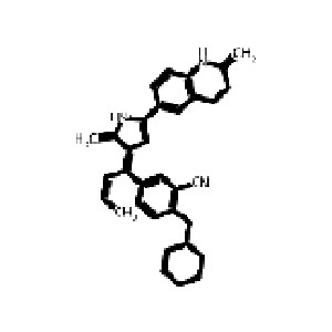 C=C1CCc2cc(-c3c/c(=C(/C=C\C)c4ccc(CC5CCCCC5)c(C#N)c4)c(=C)[nH]3)ccc2N1